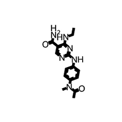 CCNc1nc(Nc2ccc(N(C)C(C)=O)cc2)ncc1C(N)=O